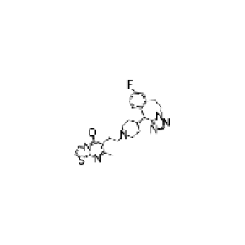 Cc1nc2sccn2c(=O)c1CCN1CCC(=C2c3ccc(F)cc3CCn3ncnc32)CC1